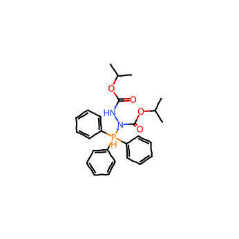 CC(C)OC(=O)NN(C(=O)OC(C)C)[PH](c1ccccc1)(c1ccccc1)c1ccccc1